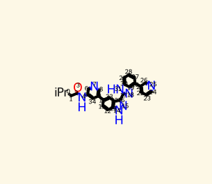 CC(C)CC(=O)Nc1cncc(-c2ccc3[nH]nc(-c4nc5c(-c6cccnc6)cccc5[nH]4)c3c2)c1